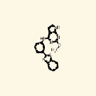 COc1nc(Nc2cccc(-c3nc4ccccc4s3)c2)c2cc[nH]c2n1